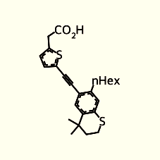 CCCCCCc1cc2c(cc1C#Cc1ccc(CC(=O)O)s1)C(C)(C)CCS2